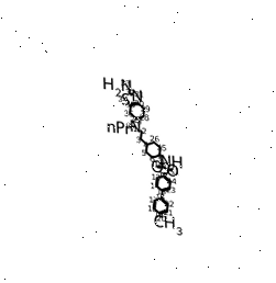 CCCN(CCC1CCC(NS(=O)(=O)c2ccc(-c3ccc(C)cc3)cc2)CC1)[C@H]1CCc2nc(N)sc2C1